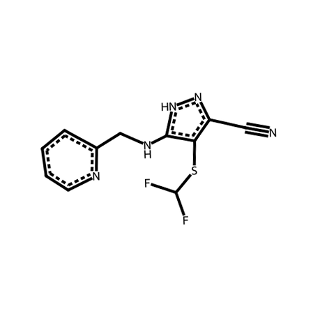 N#Cc1n[nH]c(NCc2ccccn2)c1SC(F)F